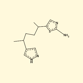 CC(CCC(C)c1cnc(N)s1)c1cn[nH]c1